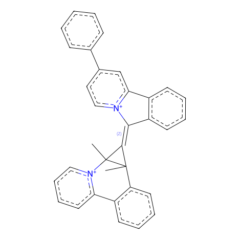 CC12/C(=C3\c4ccccc4-c4cc(-c5ccccc5)cc[n+]43)C1(C)[n+]1ccccc1-c1ccccc12